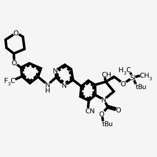 CC(C)(C)OC(=O)N1CC(C)(CO[Si](C)(C)C(C)(C)C)c2cc(-c3ccnc(Nc4ccc(OC5CCOCC5)c(C(F)(F)F)c4)n3)cc(C#N)c21